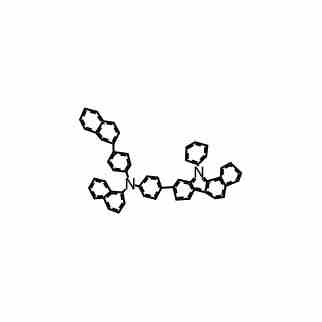 c1ccc(-n2c3cc(-c4ccc(N(c5ccc(-c6ccc7ccccc7c6)cc5)c5cccc6ccccc56)cc4)ccc3c3ccc4ccccc4c32)cc1